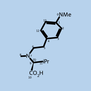 CNc1ccc(CCN(C)[C@H](C(=O)O)C(C)C)cc1